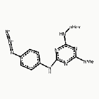 CCCCCCNc1nc(NC)nc(Nc2ccc(N=[N+]=[N-])cc2)n1